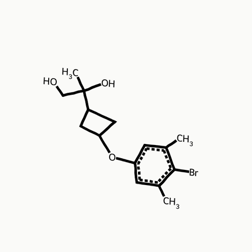 Cc1cc(OC2CC(C(C)(O)CO)C2)cc(C)c1Br